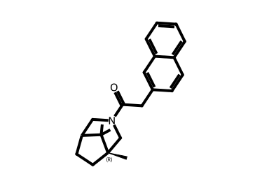 CC1(C)C2CC[C@@]1(C)CN(C(=O)Cc1ccc3ccccc3c1)C2